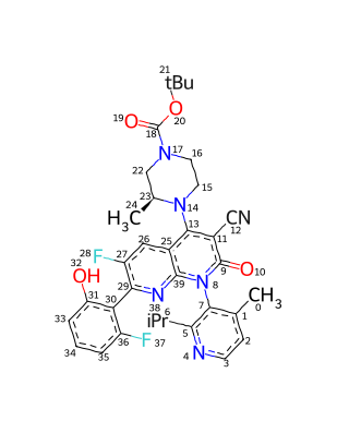 Cc1ccnc(C(C)C)c1-n1c(=O)c(C#N)c(N2CCN(C(=O)OC(C)(C)C)C[C@@H]2C)c2cc(F)c(-c3c(O)cccc3F)nc21